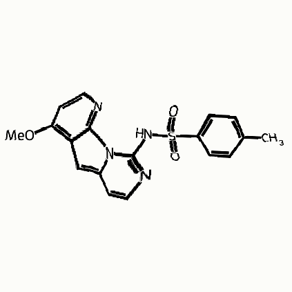 COc1ccnc2c1cc1ccnc(NS(=O)(=O)c3ccc(C)cc3)n12